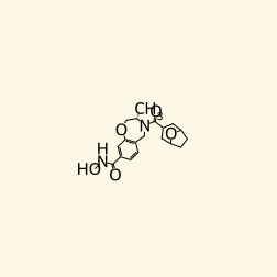 C[C@H]1COc2cc(C(=O)NO)ccc2CN1C(=O)C1CC2CCC(C1)O2